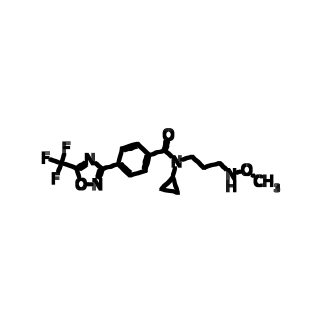 CONCCCN(C(=O)c1ccc(-c2noc(C(F)(F)F)n2)cc1)C1CC1